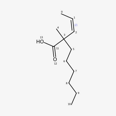 C/C=C\C(C)(CCCCCC)C(=O)O